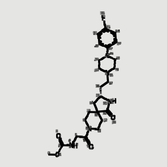 COC(=O)NCC(=O)N1CCC2(CC1)C[C@H](CCN1CCN(c3ccc(F)cc3)CC1)NC2=O